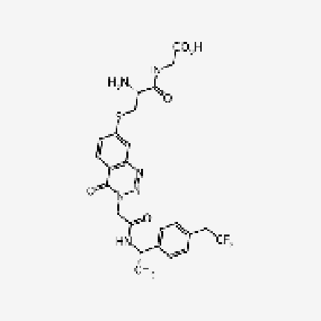 C[C@H](NC(=O)Cn1nnc2cc(SC[C@H](N)C(=O)NCC(=O)O)ccc2c1=O)c1ccc(CC(F)(F)F)cc1